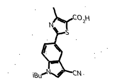 CCC(C)n1cc(C#N)c2cc(-c3nc(C)c(C(=O)O)s3)ccc21